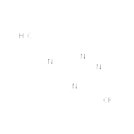 Cc1c[c]n2nc(C(F)(F)F)nc2n1